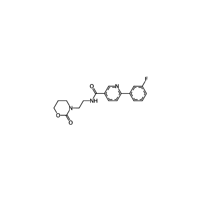 O=C(NCCN1CCCOC1=O)c1ccc(-c2cccc(F)c2)nc1